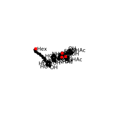 CCCCCC/C=C\CCCCCCCC(=O)NC1C(O)[C@H](O)C(CO)O[C@H]1OCC1(CO)CC(O)C(NC(C)=O)[C@H](O[C@@H]2C(CO)O[C@@H](O[C@@H]3C(CO)O[C@@H](O[C@@H]4C(COS(=O)(=O)O)O[C@@H](O)C(NC(C)=O)C4O)C(NC(C)=O)C3O)C(NC(C)=O)C2O)O1